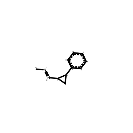 CN=NC1CC1c1ccccc1